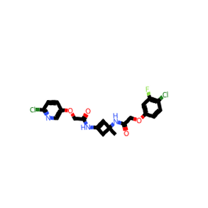 CC1(NC(=O)COc2ccc(Cl)c(F)c2)C=C(NC(=O)COc2ccc(Cl)nc2)C1